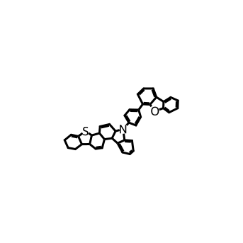 C1=CC2C(C=CC3C2c2ccccc2N3c2ccc(-c3cccc4c3oc3ccccc34)cc2)C2SC3=CCCCC3C12